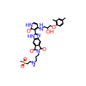 Cc1ccc(OCC(O)CNc2cc[nH]c(=O)c2-c2nc3cc4c(cc3[nH]2)C(=O)N(CCCN(C)CCS(C)(=O)=O)C4=O)c(C)c1